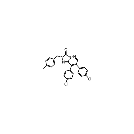 O=c1n(Cc2ccc(I)cc2)nc2c(-c3ccc(Cl)cc3)c(-c3ccc(Cl)cc3)cnn12